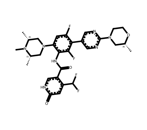 C[C@@H]1CN(c2ncc(-c3c(F)cc(N4C[C@@H](C)N(C)[C@@H](C)C4)c(NC(=O)c4c[nH]c(=O)cc4C(F)F)c3F)cn2)CCO1